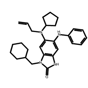 C=CCN(c1cc2c(cc1Nc1ccccc1)[nH]c(=O)n2CC1CCCCC1)C1CCCC1